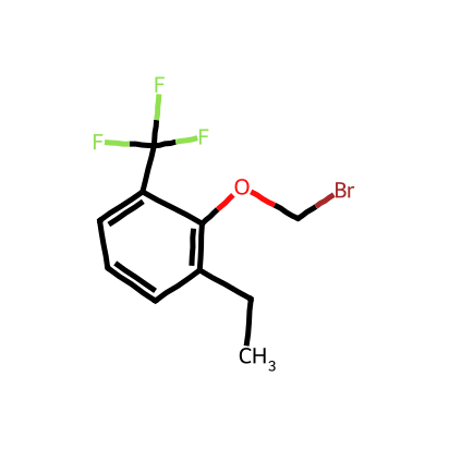 CCc1cccc(C(F)(F)F)c1OCBr